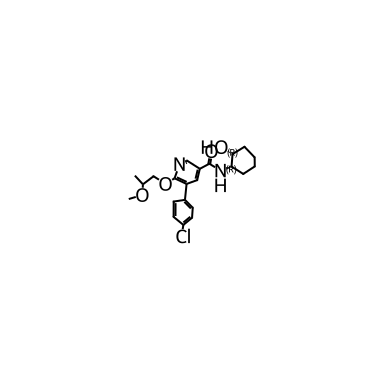 COC(C)COc1ncc(C(=O)N[C@@H]2CCCC[C@H]2O)cc1-c1ccc(Cl)cc1